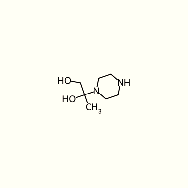 CC(O)(CO)N1CCNCC1